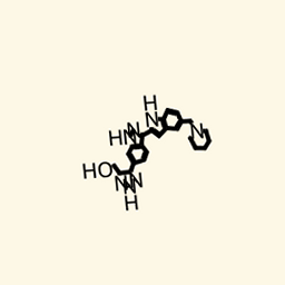 OCc1n[nH]nc1-c1ccc2c(-c3cc4cc(CN5CCCCC5)ccc4[nH]3)n[nH]c2c1